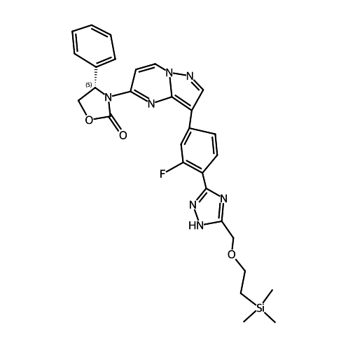 C[Si](C)(C)CCOCc1nc(-c2ccc(-c3cnn4ccc(N5C(=O)OC[C@@H]5c5ccccc5)nc34)cc2F)n[nH]1